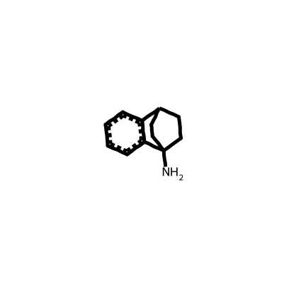 NC12CCC(CC1)c1ccccc12